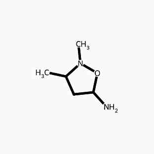 CC1CC(N)ON1C